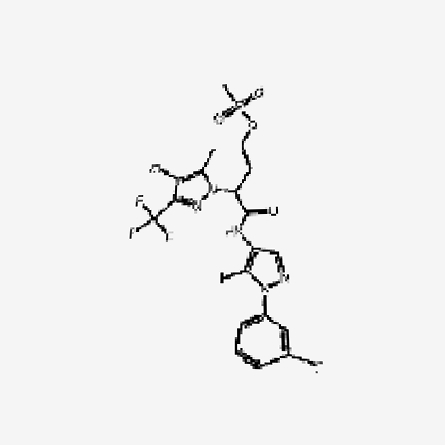 Cc1c(Cl)c(C(F)(F)F)nn1C(CCOS(C)(=O)=O)C(=O)Nc1cnn(-c2cccc(F)c2)c1I